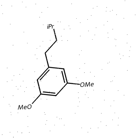 COc1cc(CCC(C)C)cc(OC)c1